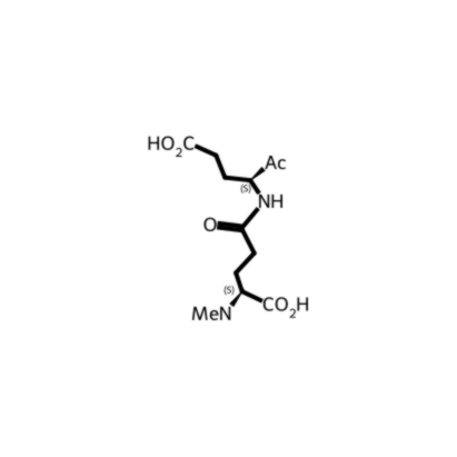 CN[C@@H](CCC(=O)N[C@@H](CCC(=O)O)C(C)=O)C(=O)O